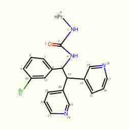 CCCNC(=O)NC(c1cccc(Br)c1)C(c1cccnc1)c1cccnc1